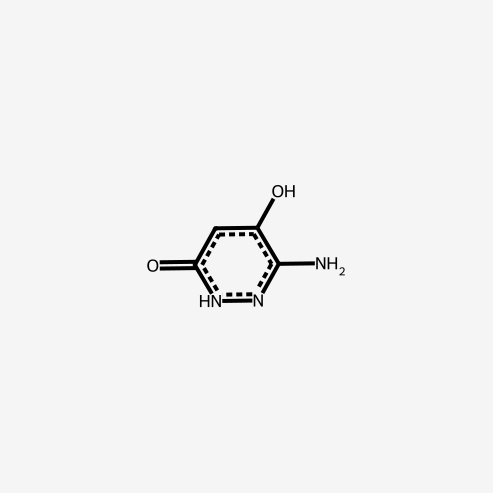 Nc1n[nH]c(=O)cc1O